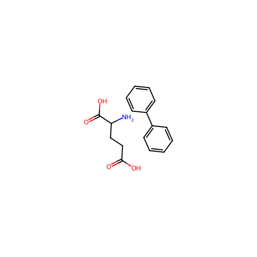 NC(CCC(=O)O)C(=O)O.c1ccc(-c2ccccc2)cc1